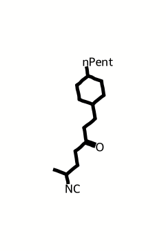 [C-]#[N+]C(C)CCC(=O)CCC1CCC(CCCCC)CC1